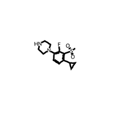 CS(=O)(=O)c1c(C2CC2)ccc(N2CCNCC2)c1F